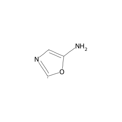 Nc1cn[c]o1